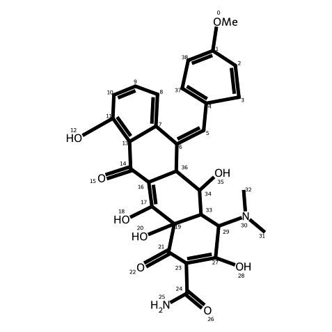 COc1ccc(/C=C2\c3cccc(O)c3C(=O)C3=C(O)C4(O)C(=O)C(C(N)=O)=C(O)C(N(C)C)C4C(O)C32)cc1